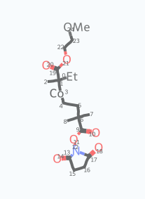 CC[C](C)([Co][CH2]CC(C)(C)C(=O)ON1C(=O)CCC1=O)C(=O)OCCOC